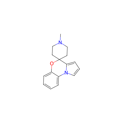 CN1CCC2(CC1)Oc1ccccc1-n1cccc12